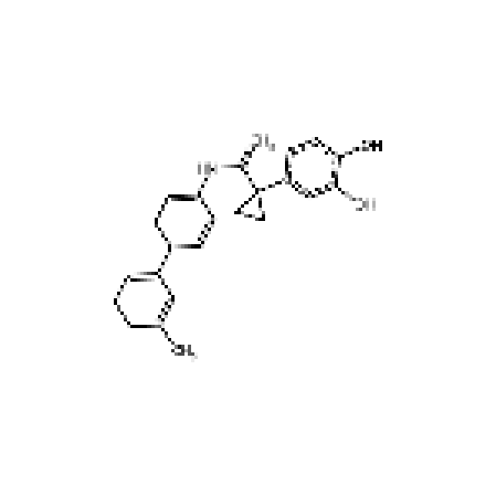 C=C(NC1=CCC(C2=CCCC(C)=C2)C=C1)C1(c2ccc(O)c(O)c2)CC1